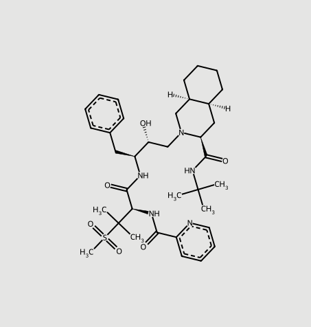 CC(C)(C)NC(=O)[C@@H]1C[C@@H]2CCCC[C@@H]2CN1C[C@@H](O)[C@H](Cc1ccccc1)NC(=O)[C@@H](NC(=O)c1ccccn1)C(C)(C)S(C)(=O)=O